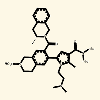 CCCCN(CCCC)C(=O)c1cc(-c2cc3c(cc2C(=O)N2Cc4ccccc4C[C@H]2C)CN(C(=O)O)CC3)n(CCN(C)C)c1C